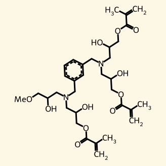 C=C(C)C(=O)OCC(O)CN(Cc1cccc(CN(CC(O)COC(=O)C(=C)C)CC(O)COC(=O)C(=C)C)c1)CC(O)COC